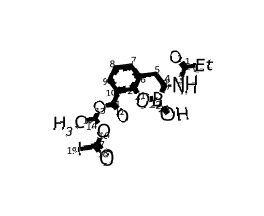 CCC(=O)N[C@H]1Cc2cccc(C(=O)OC(C)OC(=O)I)c2OB1O